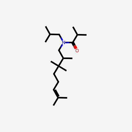 CC(C)=CCCC(C)(C)C(C)CN(CC(C)C)C(=O)C(C)C